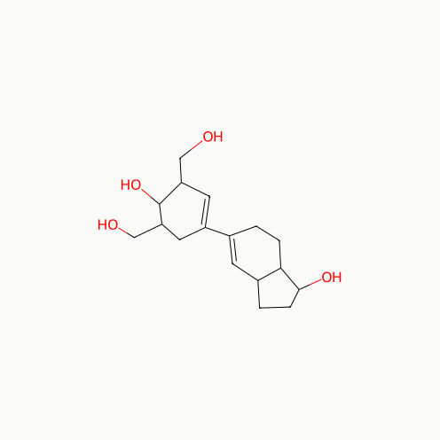 OCC1C=C(C2=CC3CCC(O)C3CC2)CC(CO)C1O